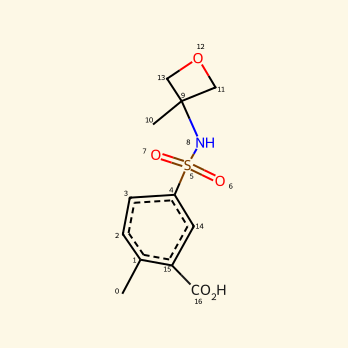 Cc1ccc(S(=O)(=O)NC2(C)COC2)cc1C(=O)O